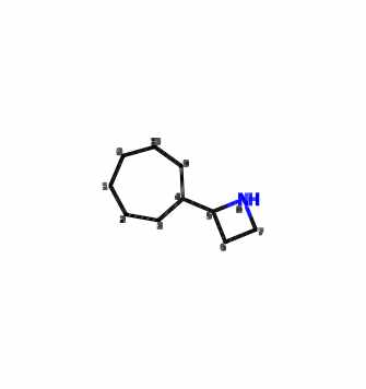 C1CCCC(C2CCN2)CC1